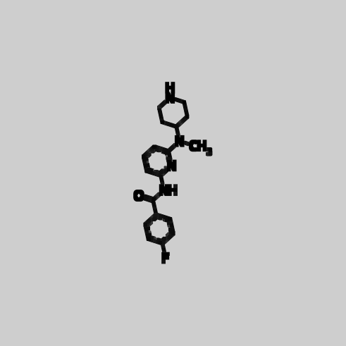 CN(c1cccc(NC(=O)c2ccc(F)cc2)n1)C1CCNCC1